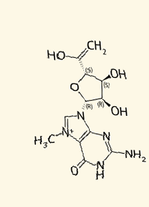 C=C(O)[C@H]1O[C@@H](n2c[n+](C)c3c(=O)[nH]c(N)nc32)[C@H](O)[C@@H]1O